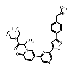 CCN(CC)C(=O)C(C)n1cc(-c2cncc(-c3cc(-c4ccc(CNC)cc4)no3)n2)ccc1=O